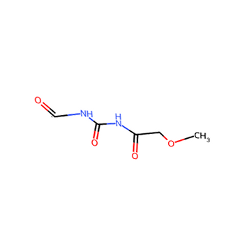 COCC(=O)NC(=O)N[C]=O